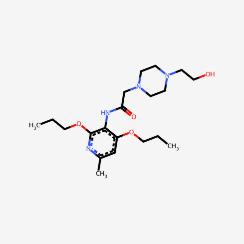 CCCOc1cc(C)nc(OCCC)c1NC(=O)CN1CCN(CCO)CC1